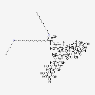 CCCCCCCC/C=C\CCCCCCCCCCCCCCCC(=O)N[C@@H](CO[C@@H]1OC(CO)[C@@H](O[C@@H]2OC(CO)[C@H](O[C@@H]3OC(CO)[C@H](O)[C@H](O[C@@H]4OC(CO)[C@H](O)[C@H](O[C@H]5OC(CO)[C@H](O)[C@H](O)C5O)C4O)C3NC(C)=O)[C@H](O[C@]3(C(=O)O)CC(O)[C@@H](NC(C)=O)C([C@H](O)[C@@H](CO)O[C@]4(C(=O)O)CC(O)[C@@H](NC(C)=O)C([C@H](O)[C@H](O)CO)O4)O3)C2O)[C@H](O)C1O)[C@H](O)/C=C/CCCCCCCCCCCCC